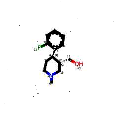 CN1CC[C@@H](c2ccccc2F)[C@H](CO)C1